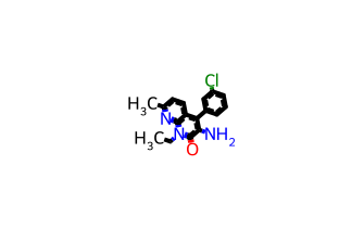 CCn1c(=O)c(N)c(-c2cccc(Cl)c2)c2ccc(C)nc21